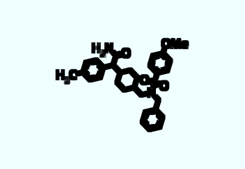 COc1ccc(S(=O)(=O)N(Cc2ccccc2)CC2CCC(C(C(N)=O)c3ccc(C)cc3)CC2)cc1